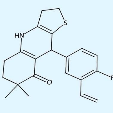 C=Cc1cc(C2C3=C(CCS3)NC3=C2C(=O)C(C)(C)CC3)ccc1F